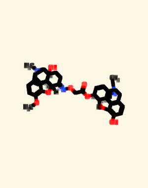 COc1ccc2c3c1O[C@H]1/C(=N/OCC(=O)O[C@H]4C=CC5C6Cc7ccc(O)c8c7[C@@]5(CCN6C)[C@H]4O8)CC[C@@]4(O)C(C2)N(C)CC[C@]314